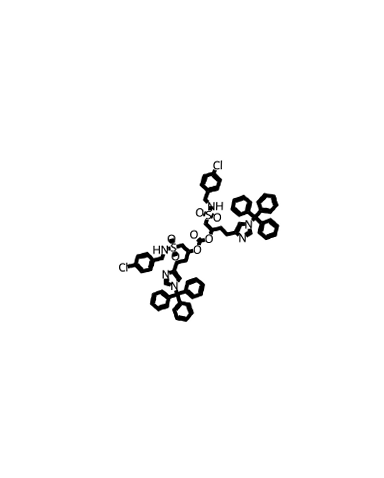 O=C(OC(CCc1cn(C(c2ccccc2)(c2ccccc2)c2ccccc2)cn1)CS(=O)(=O)NCc1ccc(Cl)cc1)OC(CCc1cn(C(c2ccccc2)(c2ccccc2)c2ccccc2)cn1)CS(=O)(=O)NCc1ccc(Cl)cc1